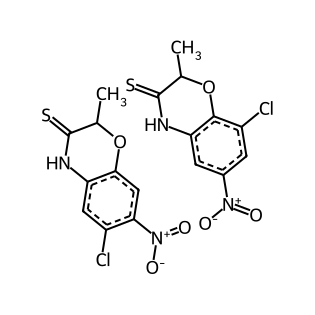 CC1Oc2c(Cl)cc([N+](=O)[O-])cc2NC1=S.CC1Oc2cc([N+](=O)[O-])c(Cl)cc2NC1=S